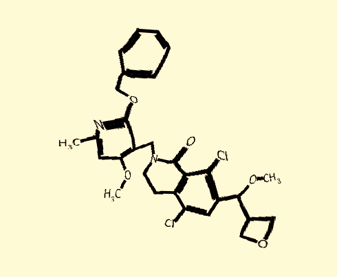 COc1cc(C)nc(OCc2ccccc2)c1CN1CCc2c(Cl)cc(C(OC)C3COC3)c(Cl)c2C1=O